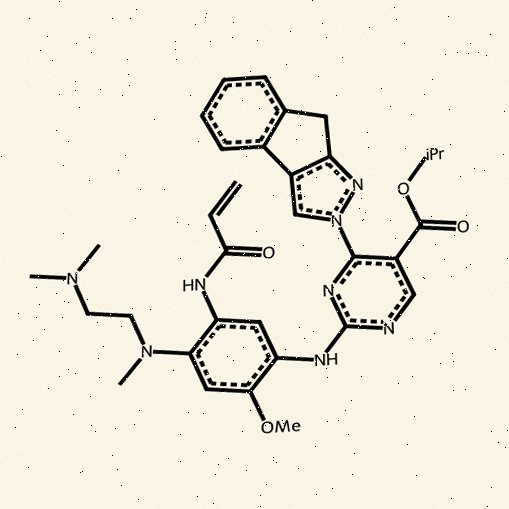 C=CC(=O)Nc1cc(Nc2ncc(C(=O)OC(C)C)c(-n3cc4c(n3)Cc3ccccc3-4)n2)c(OC)cc1N(C)CCN(C)C